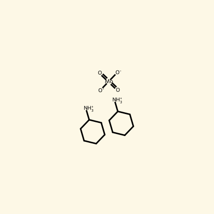 [NH3+]C1CCCCC1.[NH3+]C1CCCCC1.[O]=[Mo](=[O])([O-])[O-]